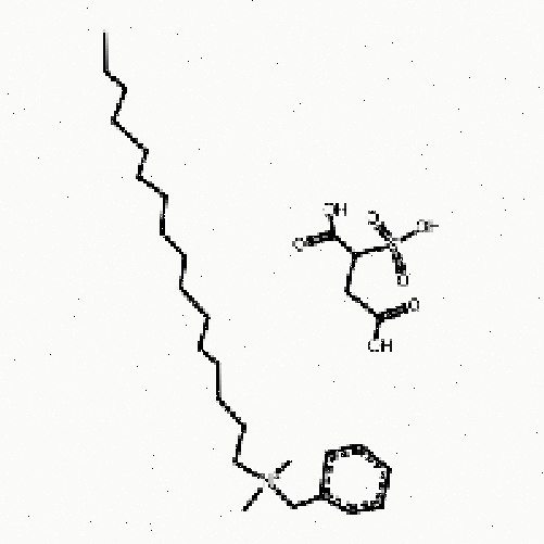 CCCCCCCCCCCCCCCC[N+](C)(C)Cc1ccccc1.O=C(O)CC(C(=O)O)S(=O)(=O)O